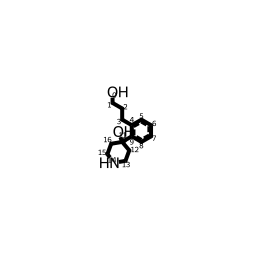 OCCCc1ccccc1C1(O)CCNCC1